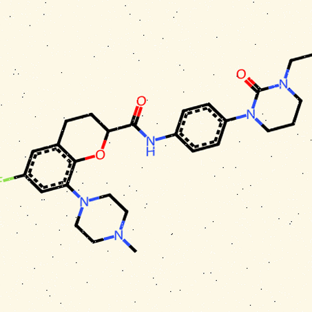 CCN1CCCN(c2ccc(NC(=O)C3CCc4cc(F)cc(N5CCN(C)CC5)c4O3)cc2)C1=O